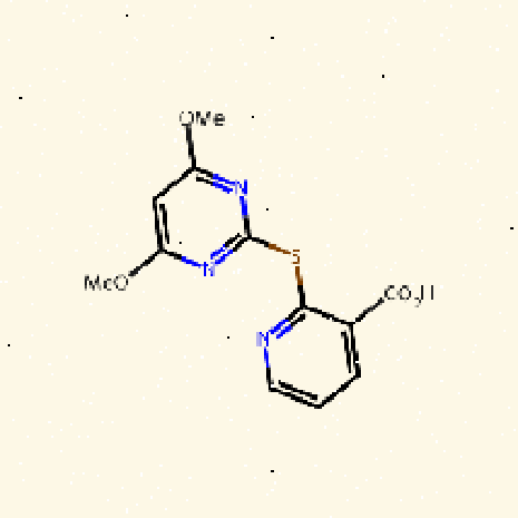 COc1cc(OC)nc(Sc2ncccc2C(=O)O)n1